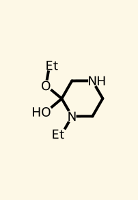 CCOC1(O)CNCCN1CC